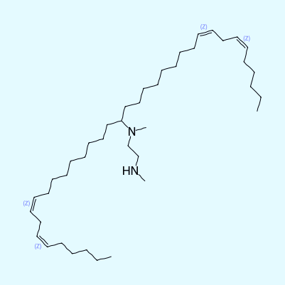 CCCCC/C=C\C/C=C\CCCCCCCCC(CCCCCCCC/C=C\C/C=C\CCCCC)N(C)CCNC